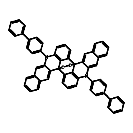 c1ccc(-c2ccc(N3c4cc5ccccc5cc4C45CCC6(c7cc8ccccc8cc7N(c7ccc(-c8ccccc8)cc7)c7cccc4c76)c4cccc3c45)cc2)cc1